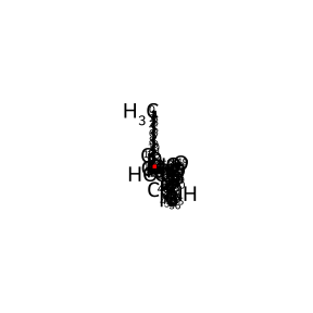 CCCCCCCCCCCCC(=O)OCOP(=O)(O)CS(=O)(=O)C[C@H]1O[C@@H](n2ccc3c(NC4CCCC4)c(C#N)c(Cl)nc32)[C@@H]2OC(=O)O[C@@H]21